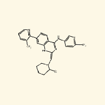 CCC1CCCCN1C=C1N=C(Nc2ccc(C(F)(F)F)nc2)c2ccc(-c3ncccc3C(F)(F)F)cc2N1